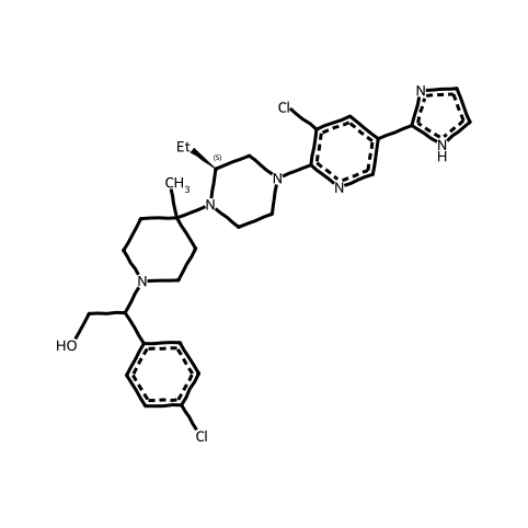 CC[C@H]1CN(c2ncc(-c3ncc[nH]3)cc2Cl)CCN1C1(C)CCN(C(CO)c2ccc(Cl)cc2)CC1